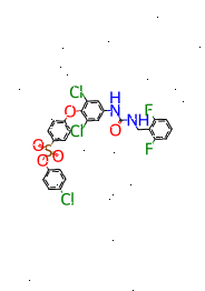 O=C(NCc1c(F)cccc1F)Nc1cc(Cl)c(Oc2ccc(S(=O)(=O)Oc3ccc(Cl)cc3)cc2)c(Cl)c1